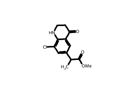 COC(=O)C(C)c1cc(Cl)c2c(c1)C(=O)CCN2